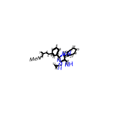 CNCC(C)CCc1cccc(-c2nc(NC3CC3)c(C=N)c(N3C4CCCC3CC4)n2)c1